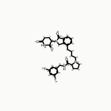 O=C1CCC(N2Cc3c(CCCCN4CCCC4C(=O)NCc4cc(F)cc(F)c4)cccc3C2=O)C(=O)N1